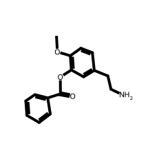 COc1ccc(CCN)cc1OC(=O)c1ccccc1